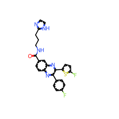 O=C(NCCCc1ncc[nH]1)c1ccc2nc(-c3ccc(F)cc3)c(-c3ccc(F)s3)nc2c1